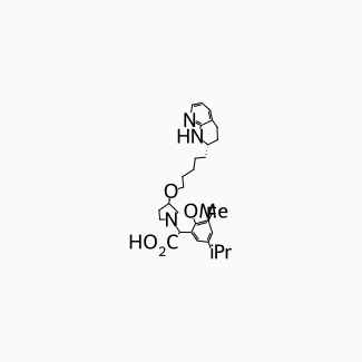 COc1c(F)cc(C(C)C)cc1C(C(=O)O)N1CC[C@@H](OCCCCC[C@H]2CCc3cccnc3N2)C1